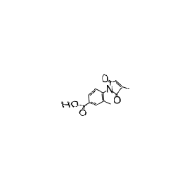 CC1=CC(=O)N(c2ccc(C(=O)O)cc2C)C1=O